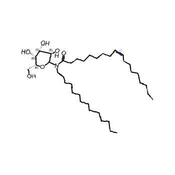 CCCCCCCC/C=C\CCCCCCCC(=O)N(CCCCCCCCCCCCCC)C1O[C@H](CO)[C@H](O)[C@H](O)[C@H]1O